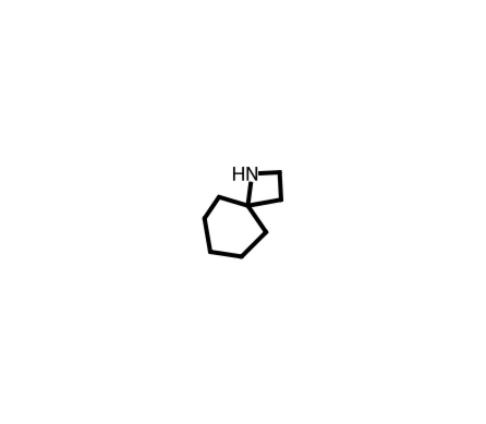 C1CCC2(CC1)CCN2